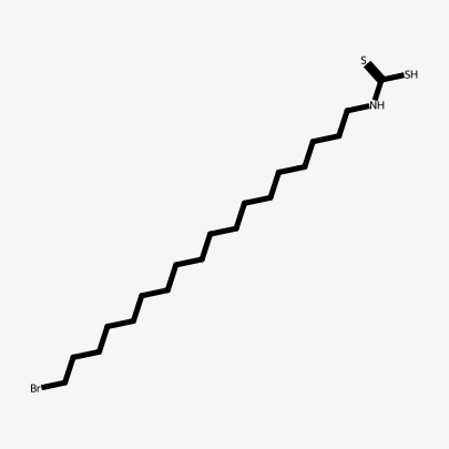 S=C(S)NCCCCCCCCCCCCCCCCCCBr